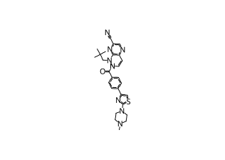 CN1CCN(c2nc(-c3ccc(C(=O)N4C=Cc5ncc(C#N)nc5N4CC(C)(C)C)cc3)cs2)CC1